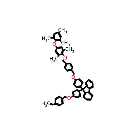 C=Cc1ccc(COc2ccc(C3(c4ccc(OCc5ccc(COc6c(C)cc(Oc7c(C)cc(C)cc7C)cc6C)cc5)cc4)c4ccccc4-c4ccccc43)cc2)cc1